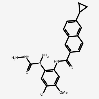 COc1cc(NC(=O)c2ccc3cc(C4CC4)ccc3c2)c(N(N)C(=O)NN)cc1Cl